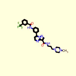 CN1CCN(CCCNC(=O)c2cnn3c(-c4cccc(NC(=O)c5cccc(C(F)(F)F)c5)c4)ccnc23)CC1